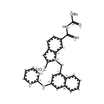 CCOC(=O)c1cc2ccc(C(=N)NC(=O)OCC(C)C)cc2n1Cc1cc(Oc2ncccn2)cc2ccccc12